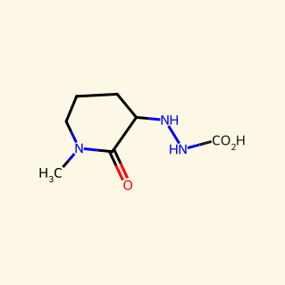 CN1CCCC(NNC(=O)O)C1=O